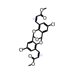 COC(=O)/C=C\c1cc(Cl)cc2c1OC1OC2Oc2c(/C=C\C(=O)OC)cc(Cl)cc21